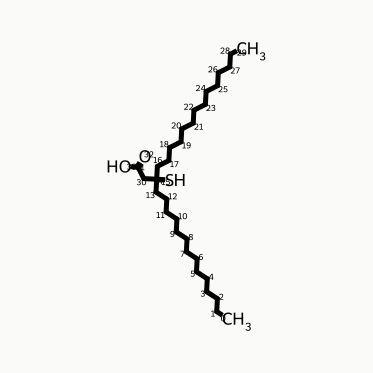 CCCCCCCCCCCCCCC(S)(CCCCCCCCCCCCCC)CC(=O)O